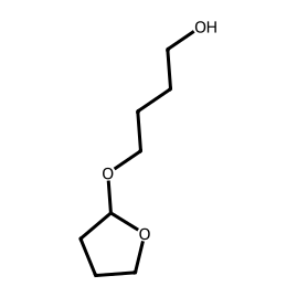 OCCCCOC1CCCO1